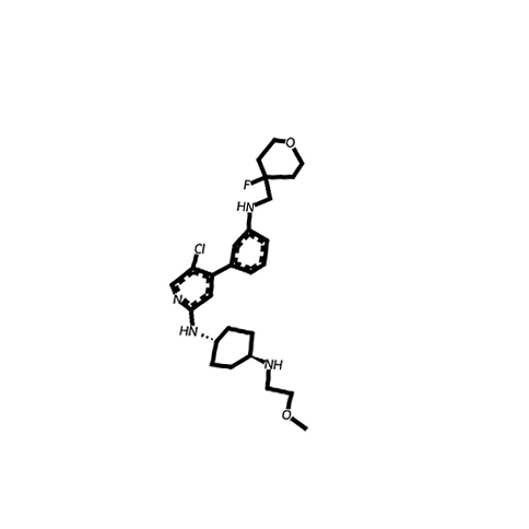 COCCN[C@H]1CC[C@H](Nc2cc(-c3cccc(NCC4(F)CCOCC4)c3)c(Cl)cn2)CC1